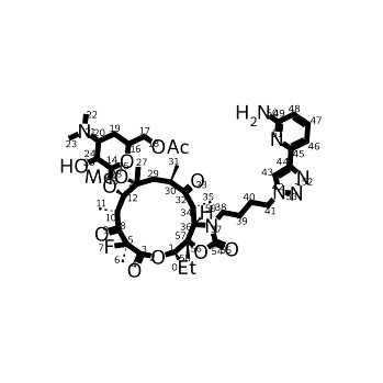 CC[C@H]1OC(=O)[C@@](C)(F)C(=O)[C@H](C)[C@@H](OC2OC(COC(C)=O)CC(N(C)C)C2O)[C@@](C)(OC)C[C@@H](C)C(=O)[C@H](C)[C@H]2N(CCCCn3cc(-c4cccc(N)n4)nn3)C(=O)O[C@]12C